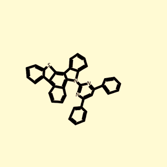 c1ccc(-c2cc(-c3ccccc3)nc(-n3c4ccccc4c4c5sc6ccccc6c5c5ccccc5c43)n2)cc1